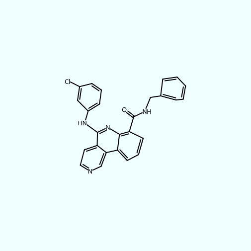 O=C(NCc1ccccc1)c1cccc2c1nc(Nc1cccc(Cl)c1)c1ccncc12